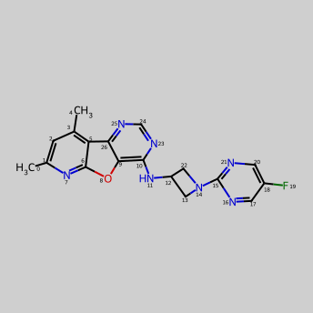 Cc1cc(C)c2c(n1)oc1c(NC3CN(c4ncc(F)cn4)C3)ncnc12